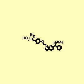 CCO[C@@H](Cc1ccc(OCCn2ccc3ccc(C(=NOC)c4ccccc4)nc32)cc1)C(=O)O